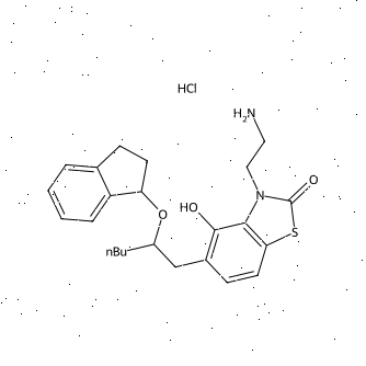 CCCCC(Cc1ccc2sc(=O)n(CCN)c2c1O)OC1CCc2ccccc21.Cl